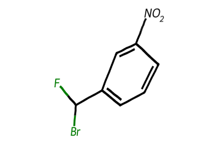 O=[N+]([O-])c1cccc(C(F)Br)c1